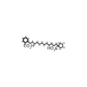 O=C(O)c1ccccc1CCCCCCCCCCCCC1(C(=O)O)CCCC1